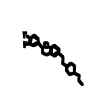 CCCC1CCC(CCc2ccc3c(c2)CCC(c2ccc(F)c(F)c2)O3)CC1